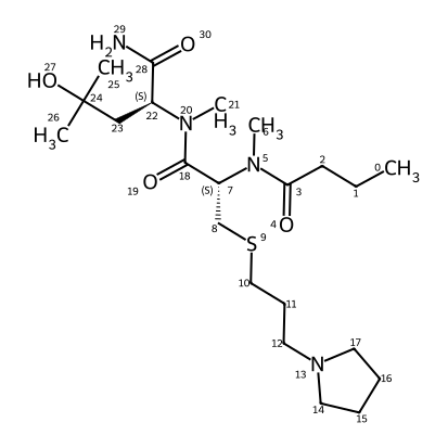 CCCC(=O)N(C)[C@H](CSCCCN1CCCC1)C(=O)N(C)[C@@H](CC(C)(C)O)C(N)=O